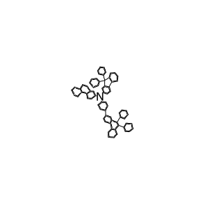 c1ccc(-c2c(-c3ccccc3)c3cc(-c4ccc(N(c5ccc6c(c5)C(c5ccccc5)(c5ccccc5)c5ccccc5-6)c5ccc6c(ccc7ccccc76)c5)cc4)ccc3c3ccccc23)cc1